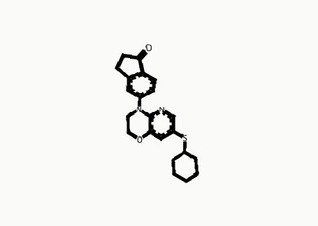 O=C1CCc2cc(N3CCOc4cc(SC5CCCCC5)cnc43)ccc21